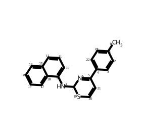 Cc1ccc(C2=NC(Nc3cccc4ccccc34)SC=C2)cc1